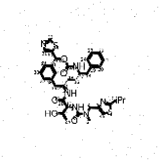 CC(C)c1nc(CN(C)C(=O)N[C@H](C(=O)N[C@@H](CC[C@@H](Cc2ccccc2)NC(=O)OCc2cncs2)Cc2ccccc2)C(C)O)cs1